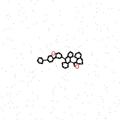 c1ccc(-c2ccc3c(c2)oc2ccc(-c4c5ccccc5c(-c5coc6ccc7ccccc7c56)c5ccccc45)cc23)cc1